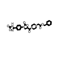 O=C(CN1CCN(C(=O)C2CN(c3ccc(-c4noc(=O)[nH]4)cc3)C(=O)O2)CC1)OCc1ccccc1